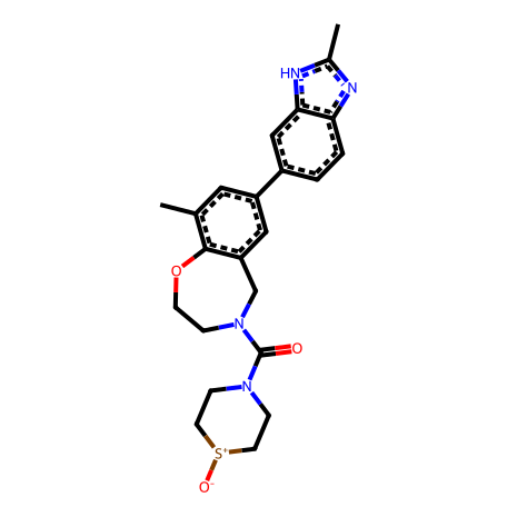 Cc1nc2ccc(-c3cc(C)c4c(c3)CN(C(=O)N3CC[S+]([O-])CC3)CCO4)cc2[nH]1